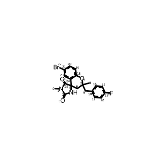 CN1C(=O)NC2(CC(C)(Cc3ccc(F)cc3)Oc3ccc(Br)cc32)C1=O